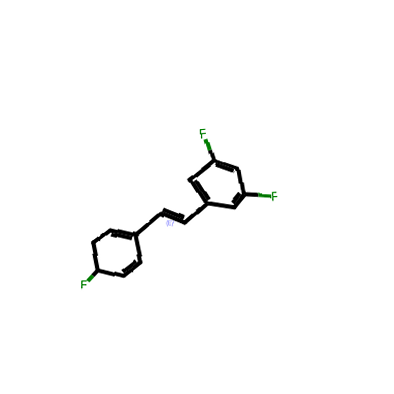 Fc1cc(F)cc(/C=C/C2=CCC(F)C=C2)c1